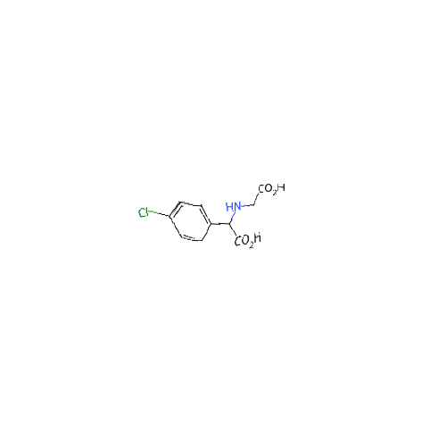 O=C(O)CNC(C(=O)O)c1ccc(Cl)cc1